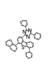 c1ccc(-c2nc(-c3ccccc3)nc(-c3ccc(-c4cccc5ccccc45)c4sc5c(-c6ccccc6)cccc5c34)n2)cc1